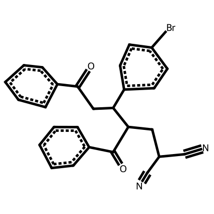 N#CC(C#N)CC(C(=O)c1ccccc1)C(CC(=O)c1ccccc1)c1ccc(Br)cc1